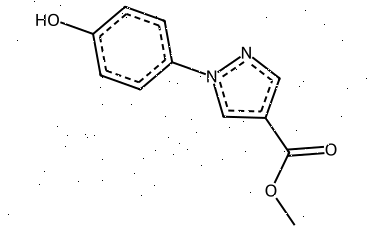 COC(=O)c1cnn(-c2ccc(O)cc2)c1